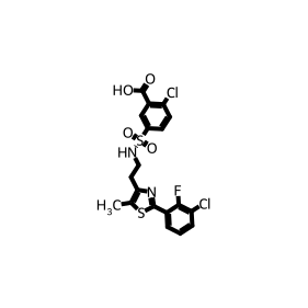 Cc1sc(-c2cccc(Cl)c2F)nc1CCNS(=O)(=O)c1ccc(Cl)c(C(=O)O)c1